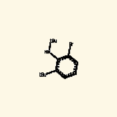 CC(C)(C)Nc1c(Br)cccc1C(C)(C)C